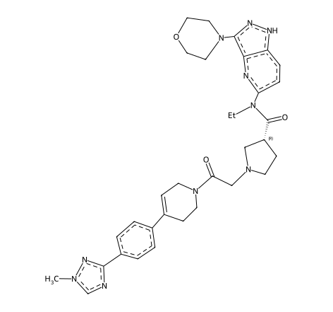 CCN(C(=O)[C@@H]1CCN(CC(=O)N2CC=C(c3ccc(-c4ncn(C)n4)cc3)CC2)C1)c1ccc2[nH]nc(N3CCOCC3)c2n1